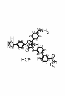 CON(C)C(=O)c1ccc(F)c(-c2cccc(C[C@H](NC(=O)C3CCC(CN)CC3)C(=O)Nc3ccc(-c4nnn[nH]4)cc3)c2)c1.Cl